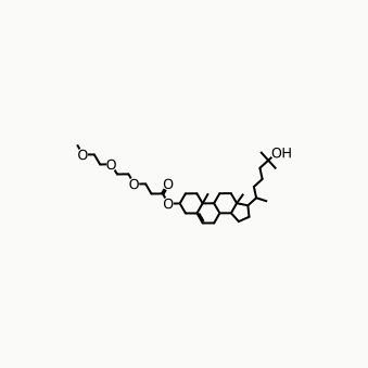 COCCOCCOCCC(=O)OC1CCC2(C)C(=CCC3C2CCC2(C)C(C(C)CCCC(C)(C)O)CCC32)C1